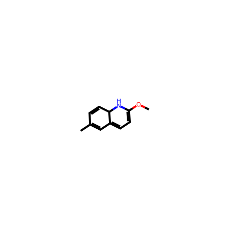 COC1=CC=C2C=C(C)C=CC2N1